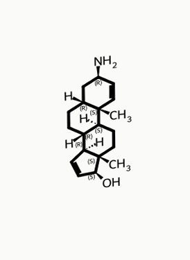 C[C@]12C=C[C@H](N)C[C@H]1CC[C@@H]1[C@@H]2CC[C@]2(C)[C@@H](O)C=C[C@@H]12